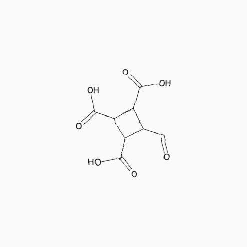 O=CC1C(C(=O)O)C(C(=O)O)C1C(=O)O